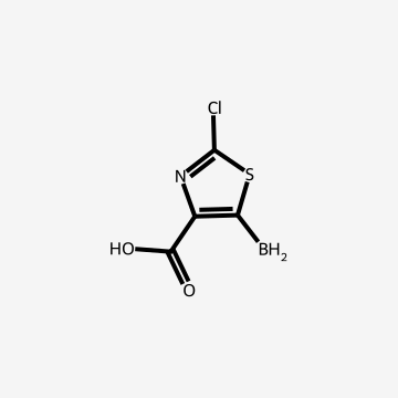 Bc1sc(Cl)nc1C(=O)O